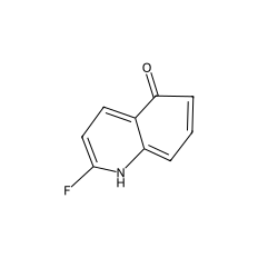 O=c1cccc2[nH]c(F)ccc1-2